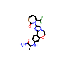 C[C@H](Nc1ccc2c(c1)OCCn1cc(N3C(=O)SC=CC=C3C(F)F)nc1-2)C(N)=O